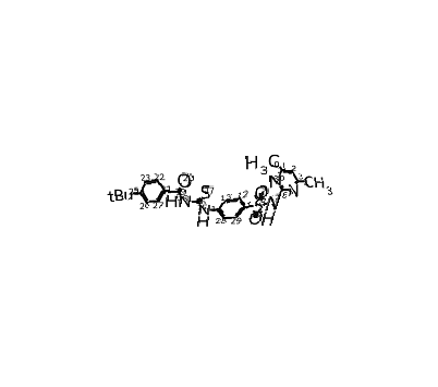 Cc1cc(C)nc(NS(=O)(=O)c2ccc(NC(=S)NC(=O)c3ccc(C(C)(C)C)cc3)cc2)n1